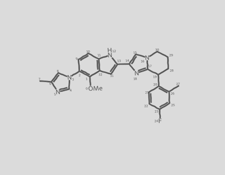 COc1c(-n2cnc(C)c2)ccc2[nH]c(-c3cn4c(n3)C(c3ccc(F)cc3C)CCC4)cc12